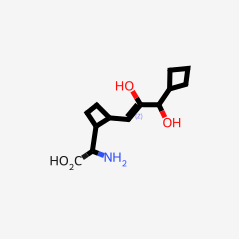 NC(C(=O)O)C1CCC1/C=C(\O)C(O)C1CCC1